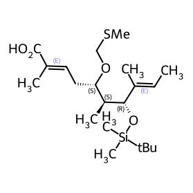 C/C=C(\C)[C@H](O[Si](C)(C)C(C)(C)C)[C@@H](C)[C@H](C/C=C(\C)C(=O)O)OCSC